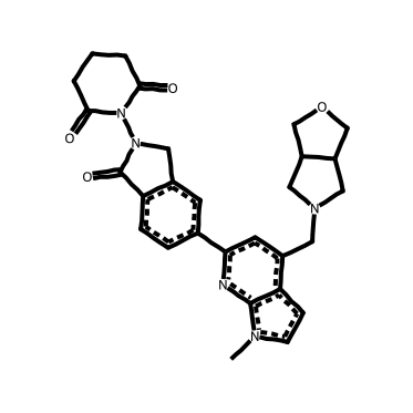 Cn1ccc2c(CN3CC4COCC4C3)cc(-c3ccc4c(c3)CN(N3C(=O)CCCC3=O)C4=O)nc21